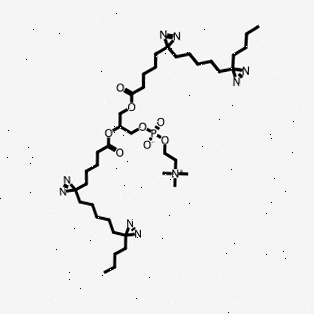 CCCCC1(CCCCCC2(CCCCC(=O)OCC(COP(=O)([O-])OCC[N+](C)(C)C)OC(=O)CCCCC3(CCCCCC4(CCCC)N=N4)N=N3)N=N2)N=N1